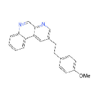 COc1ccc(CCc2cnc3cnc4ccccc4c3c2)cc1